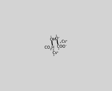 O=C(O)O.O=C([O-])[O-].[Cs+].[Cs+]